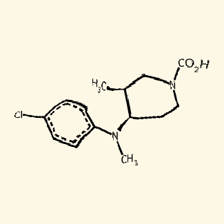 C[C@H]1CN(C(=O)O)CC[C@H]1N(C)c1ccc(Cl)cc1